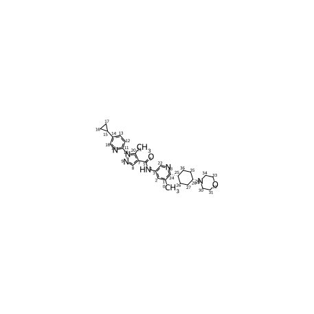 Cc1cc(NC(=O)c2cnn(-c3ccc(C4CC4)cn3)c2C)cnc1[C@H]1CC[C@@H](N2CCOCC2)CC1